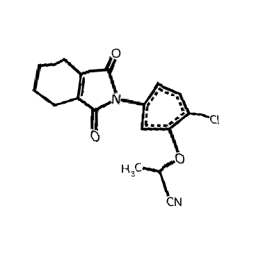 CC(C#N)Oc1cc(N2C(=O)C3=C(CCCC3)C2=O)ccc1Cl